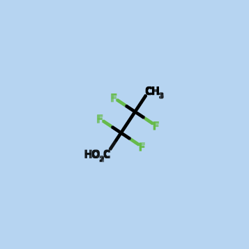 CC(F)(F)C(F)(F)C(=O)O